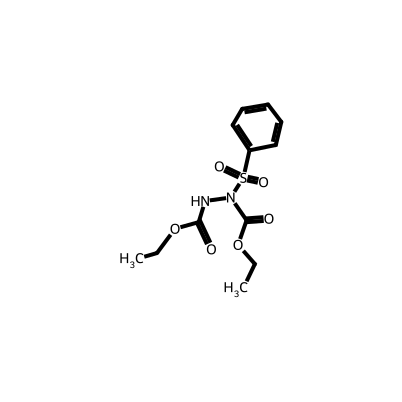 CCOC(=O)NN(C(=O)OCC)S(=O)(=O)c1ccccc1